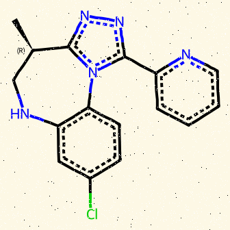 C[C@@H]1CNc2cc(Cl)ccc2-n2c(-c3ccccn3)nnc21